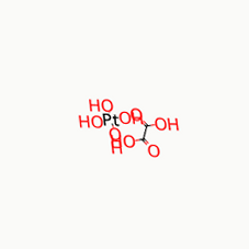 O=C(O)C(=O)O.[OH][Pt]([OH])([OH])[OH]